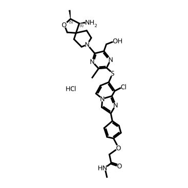 CNC(=O)COc1ccc(-c2cn3ccc(Sc4nc(CO)c(N5CCC6(CC5)CO[C@@H](C)[C@H]6N)nc4C)c(Cl)c3n2)cc1.Cl